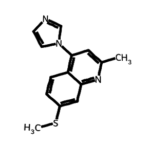 CSc1ccc2c(-n3ccnc3)cc(C)nc2c1